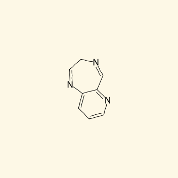 C1=NCC=Nc2cccnc21